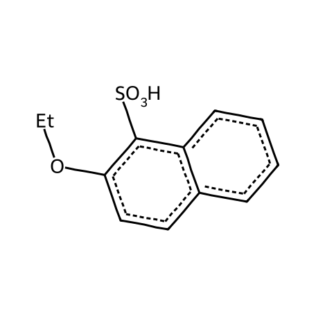 CCOc1ccc2ccccc2c1S(=O)(=O)O